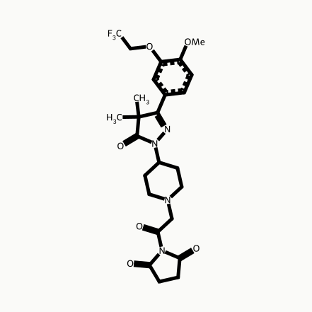 COc1ccc(C2=NN(C3CCN(CC(=O)N4C(=O)CCC4=O)CC3)C(=O)C2(C)C)cc1OCC(F)(F)F